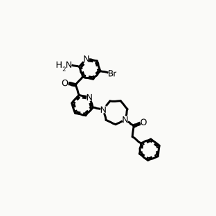 Nc1ncc(Br)cc1C(=O)c1cccc(N2CCCN(C(=O)Cc3ccccc3)CC2)n1